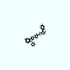 c1ccc(-n2c3ccccc3c3ccc(-c4ccc(-c5nc6c(ccc7sc8ccccc8c76)s5)cc4)cc32)cc1